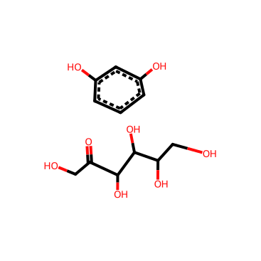 O=C(CO)C(O)C(O)C(O)CO.Oc1cccc(O)c1